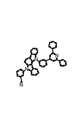 N#Cc1cccc(-n2c3ccccc3c3c2ccc2c4ccccc4n(-c4cccc(-c5cc(-c6ccccc6)nc(-c6ccccc6)c5)c4)c23)c1